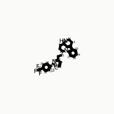 C/C=C\C(CC[C@@H]1CC[C@@H]2NCCc3c2n1c1ccccc31)=N/Nc1ccc(C(F)(F)F)cc1